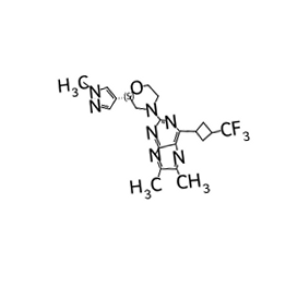 Cc1nc2nc(N3CCO[C@@H](c4cnn(C)c4)C3)nc(C3CC(C(F)(F)F)C3)c2nc1C